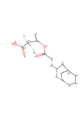 CC(OC(=O)CCC1CC2CCCC(C2)C1)C(F)(F)C(=O)O